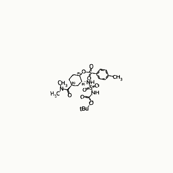 Cc1ccc(S(=O)(=O)O[C@@H]2CC[C@H](C(=O)N(C)C)C[C@H]2NS(=O)(=O)NC(=O)OC(C)(C)C)cc1